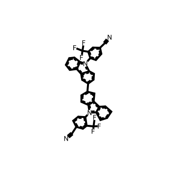 N#Cc1ccc(-n2c3ccccc3c3cc(-c4ccc5c(c4)c4ccccc4n5-c4ccc(C#N)cc4C(F)(F)F)ccc32)c(C(F)(F)F)c1